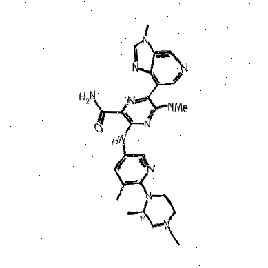 CNc1nc(Nc2cnc(N3CCN(C)C[C@H]3C)c(C)c2)c(C(N)=O)nc1-c1cncc2c1ncn2C